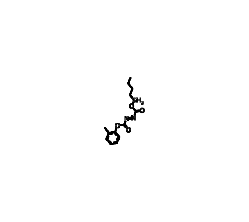 CCCC[SiH2]OC(=O)N=NC(=O)Oc1ccccc1C